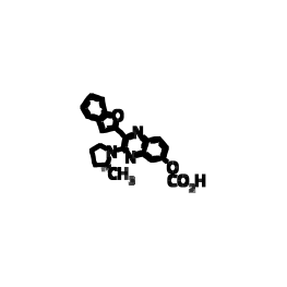 C[C@H]1CCCN1c1nc2cc(OC(=O)O)ccc2nc1-c1cc2ccccc2o1